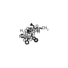 C=CCNC(=O)C(O)C(CC1CC1)NC(=O)[C@@H]1[C@@H]2[C@H](CN1C(=O)[C@@H](NC(=O)[C@@H](NC(=O)c1cnccn1)C1CCCCC1)C1Cc3ccccc3C1)C2(C)C